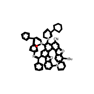 CC(C)(C)c1cccc2c1oc1cc(C#N)c3c(N4C=C(C5CCCCC5)C=CC4)c(N4C=CC(c5ccccc5)=CC4)c4cc(/C(=N\c5ccccc5)c5ccccc5)c5c6cccc(N7C=CC=CC7)c6oc5c4c3c12